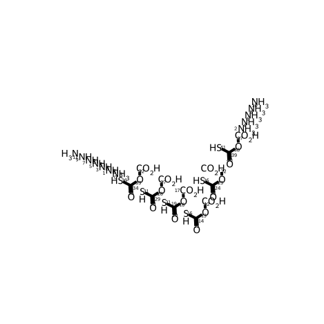 N.N.N.N.N.N.N.N.N.N.N.N.O=C(O)OC(=O)S.O=C(O)OC(=O)S.O=C(O)OC(=O)S.O=C(O)OC(=O)S.O=C(O)OC(=O)S.O=C(O)OC(=O)S